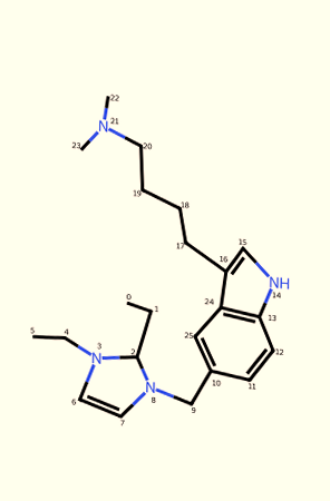 CCC1N(CC)C=CN1Cc1ccc2[nH]cc(CCCCN(C)C)c2c1